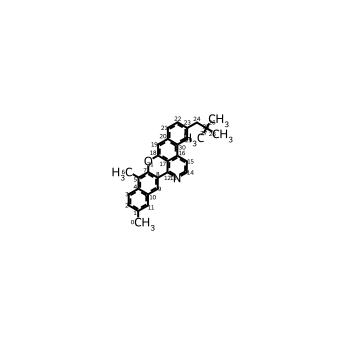 Cc1ccc2c(C)c3c(cc2c1)-c1nccc2c1c(cc1ccc(CC(C)(C)C)cc12)O3